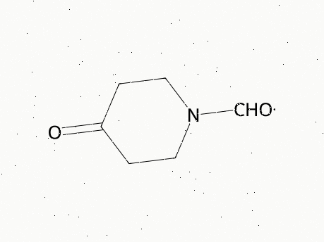 O=[C]N1CCC(=O)CC1